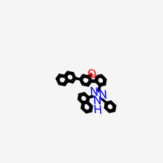 c1ccc(C2=NC(c3cccc4oc5cc(-c6ccc7ccccc7c6)ccc5c34)=NC(c3cccc4ccccc34)N2)cc1